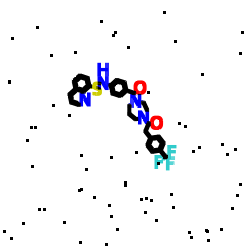 O=C(Cc1ccc(C(F)(F)F)cc1)N1CCCN(C(=O)c2ccc(NSc3cccc4cccnc34)cc2)CC1